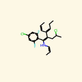 C/C=C\N/C(=C(CC(C)Cl)/C(/C=C\C)=C/CC)c1c(F)cc(Cl)cc1F